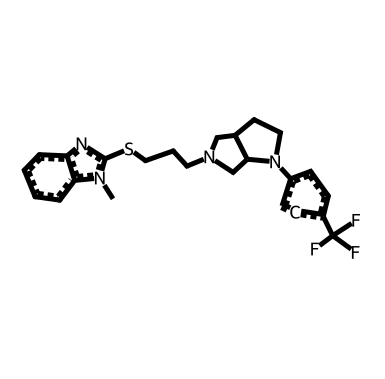 Cn1c(SCCCN2CC3CCN(c4ccc(C(F)(F)F)cc4)C3C2)nc2ccccc21